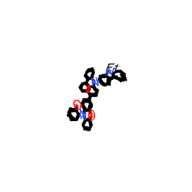 CCn1c2ccccc2c2ccc(N(c3ccc(-c4cc5c6c(c4)Oc4ccccc4N6c4ccccc4O5)cc3)c3ccccc3-c3ccccc3)cc21